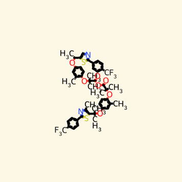 Cc1cc(OC(C)c2cnc(-c3ccc(C(F)(F)F)cc3)s2)ccc1OC(C)(C)C(=O)OC(=O)C(C)(C)Oc1ccc(OC(C)(C)c2sc(-c3ccc(C(F)(F)F)cc3)nc2C)cc1C